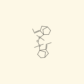 CC=C1CC2CCC1([Si](C)(C)O[Si](C)(C)C13CCC(CC1=CC)C3)C2